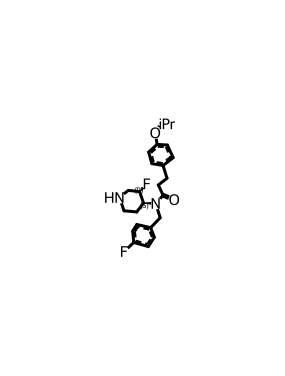 CC(C)Oc1ccc(CCC(=O)N(Cc2ccc(F)cc2)[C@H]2CCNC[C@H]2F)cc1